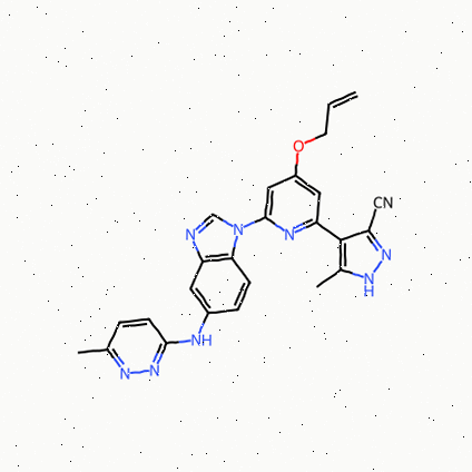 C=CCOc1cc(-c2c(C#N)n[nH]c2C)nc(-n2cnc3cc(Nc4ccc(C)nn4)ccc32)c1